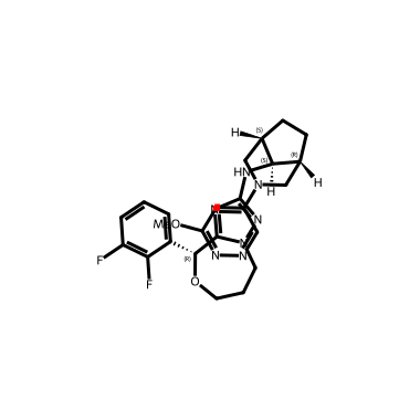 COc1cc(N2C[C@H]3CC[C@@H](C2)[C@@H]3Nc2nc3n(n2)CCCO[C@@H]3c2cccc(F)c2F)cnn1